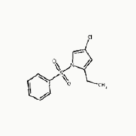 CCc1cc(Cl)cn1S(=O)(=O)c1ccccc1